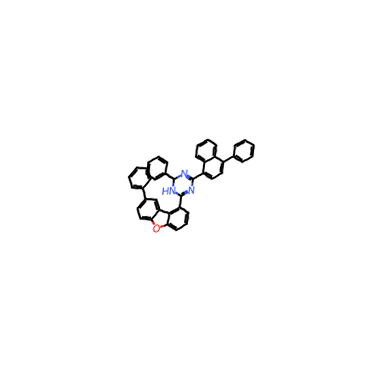 c1ccc(-c2ccc3oc4cccc(C5=NC(c6ccc(-c7ccccc7)c7ccccc67)=NC(c6ccccc6)N5)c4c3c2)cc1